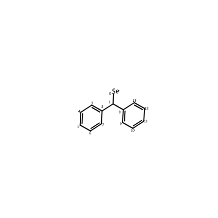 [Se]C(c1ccccc1)c1ccccc1